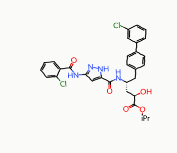 CC(C)OC(=O)[C@H](O)C[C@@H](Cc1ccc(-c2cccc(Cl)c2)cc1)NC(=O)c1cc(NC(=O)c2ccccc2Cl)n[nH]1